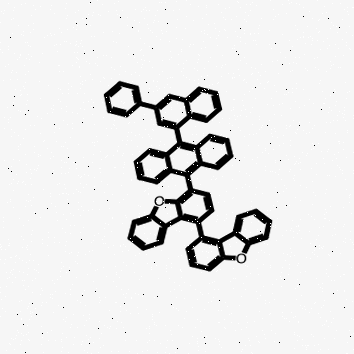 c1ccc(-c2cc(-c3c4ccccc4c(-c4ccc(-c5cccc6oc7ccccc7c56)c5c4oc4ccccc45)c4ccccc34)c3ccccc3c2)cc1